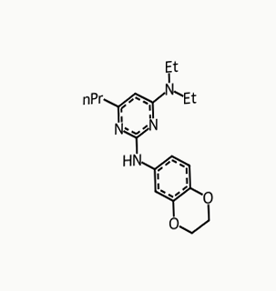 CCCc1cc(N(CC)CC)nc(Nc2ccc3c(c2)OCCO3)n1